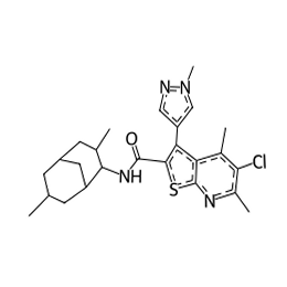 Cc1nc2sc(C(=O)NC3C(C)CC4CC(C)CC3C4)c(-c3cnn(C)c3)c2c(C)c1Cl